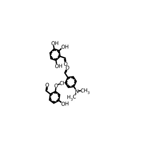 CN(C)c1ccc(C=O)cc1.COc1cc(O)ccc1C=O.O=Cc1c(O)ccc(O)c1O